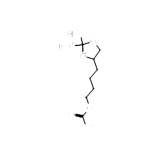 CC(C)C(=O)OCCCCC1COC(C)(C)O1